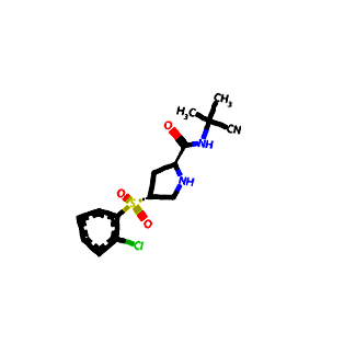 CC(C)(C#N)NC(=O)[C@@H]1C[C@@H](S(=O)(=O)c2ccccc2Cl)CN1